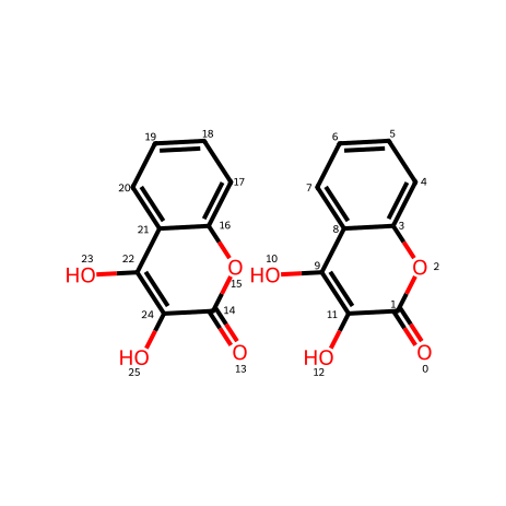 O=c1oc2ccccc2c(O)c1O.O=c1oc2ccccc2c(O)c1O